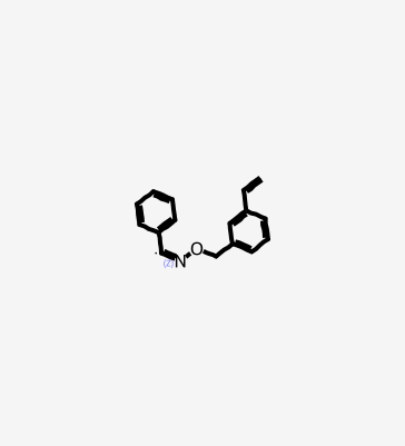 C=Cc1cccc(CO/N=[C]\c2ccccc2)c1